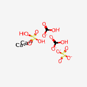 O=C([O-])O.O=C([O-])O.O=S(=O)(O)O.O=S(=O)([O-])[O-].[Ca+2].[Ca+2]